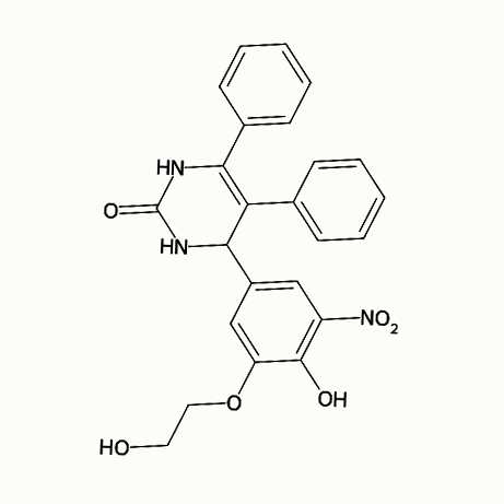 O=C1NC(c2ccccc2)=C(c2ccccc2)C(c2cc(OCCO)c(O)c([N+](=O)[O-])c2)N1